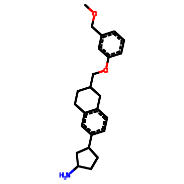 COCc1cccc(OCC2CCc3cc(C4CCC(N)C4)ccc3C2)c1